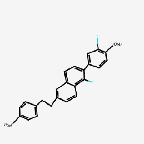 CCCCCc1ccc(CCc2ccc3c(F)c(-c4ccc(OC)c(F)c4)ccc3c2)cc1